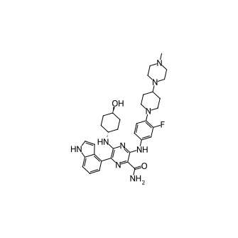 CN1CCN(C2CCN(c3ccc(Nc4nc(N[C@H]5CC[C@H](O)CC5)c(-c5cccc6[nH]ccc56)nc4C(N)=O)cc3F)CC2)CC1